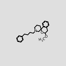 COC1Cc2ccccc2C2(CCCN(CCCCc3ccccc3)C2)O1